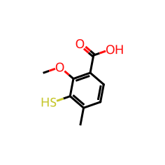 COc1c(C(=O)O)ccc(C)c1S